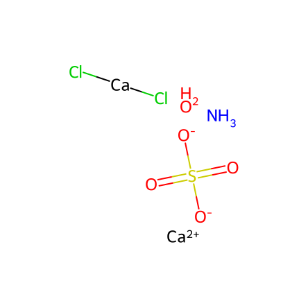 N.O.O=S(=O)([O-])[O-].[Ca+2].[Cl][Ca][Cl]